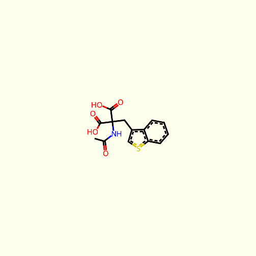 CC(=O)NC(Cc1csc2ccccc12)(C(=O)O)C(=O)O